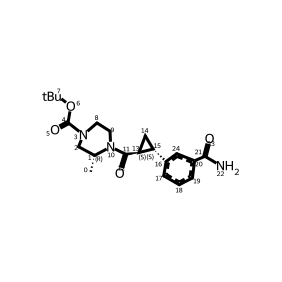 C[C@@H]1CN(C(=O)OC(C)(C)C)CCN1C(=O)[C@H]1C[C@@H]1c1cccc(C(N)=O)c1